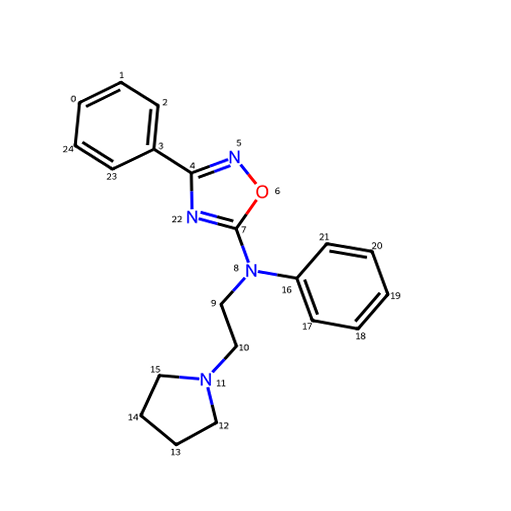 c1ccc(-c2noc(N(CCN3CCCC3)c3ccccc3)n2)cc1